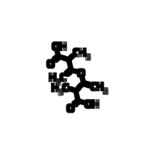 C=C(OC(=C)C(C)C(=O)O)C(C)C(=O)O